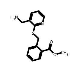 COC(=O)c1ccccc1CSc1ncccc1CN